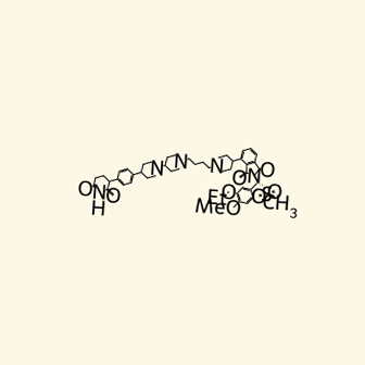 CCOc1cc([C@@H](CS(C)(=O)=O)N2C(=O)c3cccc(C4CCN(CCCCN5CCC(N6CCC(c7ccc(C8CCC(=O)NC8=O)cc7)CC6)CC5)CC4)c3C2=O)ccc1OC